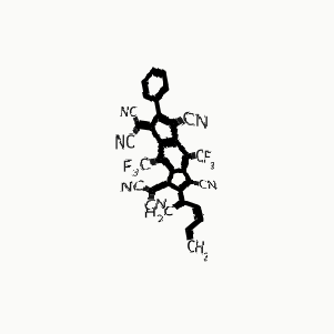 C=C/C=C\C(=C)C1=C(C#N)c2c(c(C(F)(F)F)c3c(c2C(F)(F)F)C(C#N)=C(c2ccccc2)C3=C(C#N)C#N)C1=C(C#N)C#N